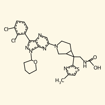 Cc1csc(C2(CNC(=O)O)C3CCN(c4cnc5c(-c6cccc(Cl)c6Cl)nn(C6CCCCO6)c5n4)CC32)n1